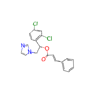 O=C(C=Cc1ccccc1)OC(Cn1ccnc1)c1ccc(Cl)cc1Cl